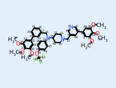 COc1cc(-c2cncc(CN3CCC(N(Cc4cccc(-c5cc(OC)c(OC)c(OC)c5)c4)c4ccc(OC(F)(F)F)cc4)CC3)c2)cc(OC)c1OC